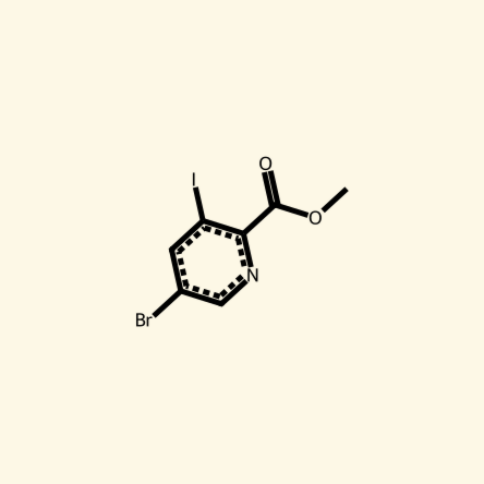 COC(=O)c1ncc(Br)cc1I